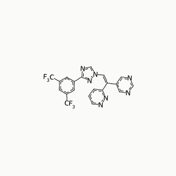 FC(F)(F)c1cc(-c2ncn(C=C(c3cncnc3)c3cccnn3)n2)cc(C(F)(F)F)c1